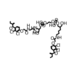 C=C(CC)C(=O)c1ccc(OCC(=O)NCCCCC(CO)COP(=O)(O)OCCCOP(=O)(O)OCC(CO)NC(=O)CCNC(=O)COc2ccc(C(=O)C(=C)CC)c(Cl)c2Cl)c(Cl)c1Cl